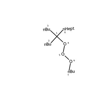 CCCCCCCC(CCCC)(CCCC)OOOCCCC